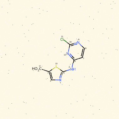 O=C(O)c1cnc(Nc2ccnc(Cl)n2)s1